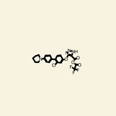 O=C(OC(=O)C(F)(F)F)c1[nH]nnc1Oc1ccc(-c2ccc(N3CCCCC3)cc2)c(Cl)c1